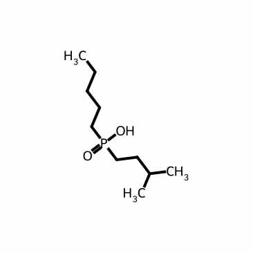 CCCCCP(=O)(O)CCC(C)C